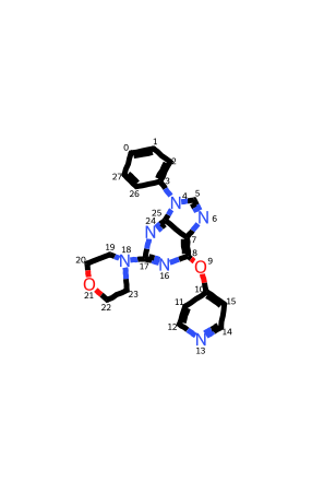 c1ccc(-n2cnc3c(Oc4ccncc4)nc(N4CCOCC4)nc32)cc1